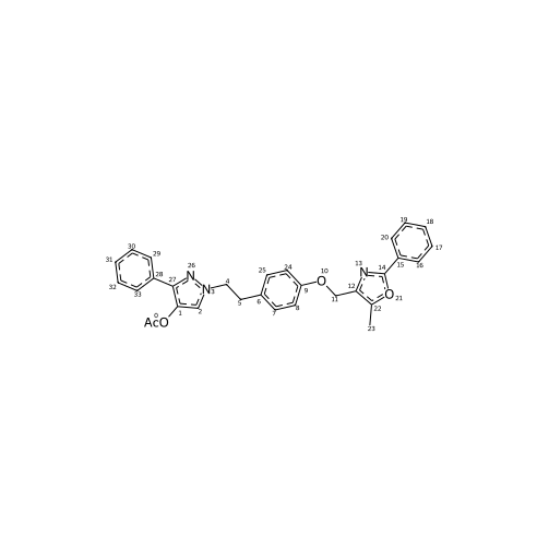 CC(=O)Oc1cn(CCc2ccc(OCc3nc(-c4ccccc4)oc3C)cc2)nc1-c1ccccc1